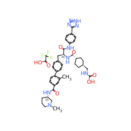 Cc1cc(C(=O)N[C@H]2CCCN(C)C2)ccc1-c1ccc(C[C@H](NC(=O)[C@H]2CC[C@H](CNC(=O)O)CC2)C(=O)Nc2ccc(-c3nn[nH]n3)cc2)cc1.O=C(O)C(F)(F)F